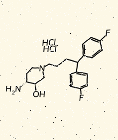 Cl.Cl.N[C@@H]1CCN(CCCC(c2ccc(F)cc2)c2ccc(F)cc2)C[C@H]1O